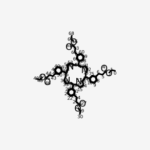 CCOC(=O)CCc1cccc(C2=C3C=CC(=N3)C(c3cccc(CCC(=O)OCC)c3)=C3C=CC(=N3)C(c3cccc(CCC(=O)OCC)c3)=C3C=CC(=N3)C(c3cccc(CCC(=O)OCC)c3)=C3C=CC2=N3)c1